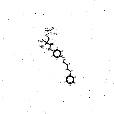 CC(N)(COP(=O)(O)O)C(=O)Nc1ccc(OCCCCc2ccccc2)cc1